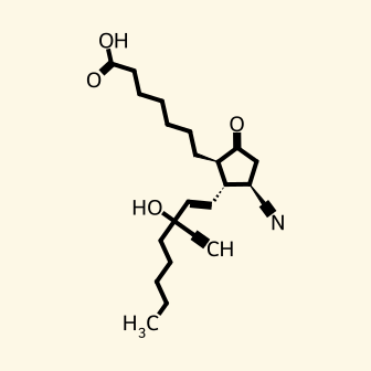 C#CC(O)(C=C[C@H]1[C@H](C#N)CC(=O)[C@@H]1CCCCCCC(=O)O)CCCCC